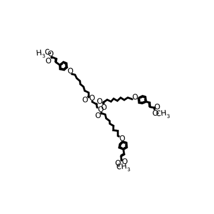 COC(=O)C=Cc1ccc(OCCCCCCCCC(=O)OCC(COC(=O)CCCCCCCCOc2ccc(C=CC(=O)OC)cc2)OC(=O)CCCCCCCCOc2ccc(C=CC(=O)OC)cc2)cc1